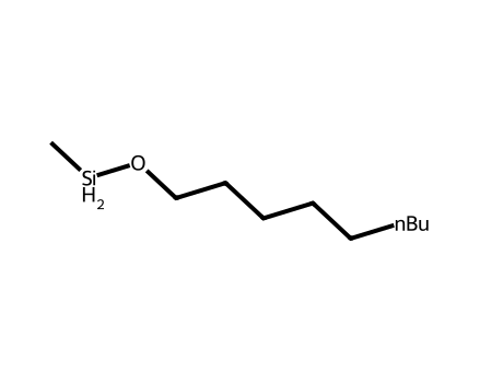 CCCCCCCCCO[SiH2]C